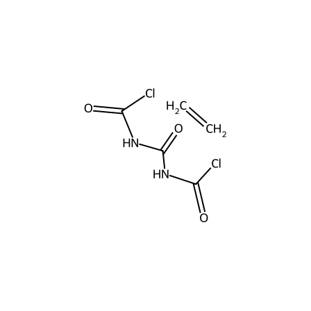 C=C.O=C(Cl)NC(=O)NC(=O)Cl